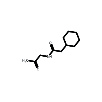 CC(=O)CNC(=O)CC1CCCCC1